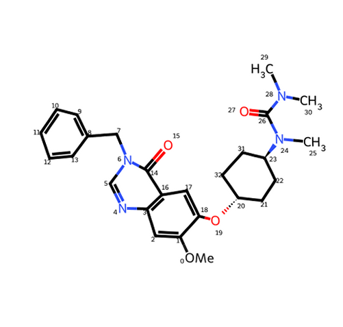 COc1cc2ncn(Cc3ccccc3)c(=O)c2cc1O[C@H]1CC[C@H](N(C)C(=O)N(C)C)CC1